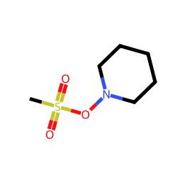 CS(=O)(=O)ON1CCCCC1